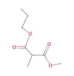 CCCOC(=O)C(C)C(=O)OC